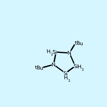 CC(C)(C)N1[SiH2][SiH2]N(C(C)(C)C)[SiH2]1